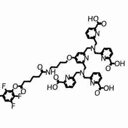 O=C(CCCCC(=O)Oc1c(F)c(F)cc(F)c1F)NCCCCOc1cc(CN(Cc2cccc(C(=O)O)n2)Cc2cccc(C(=O)O)n2)nc(CN(Cc2cccc(C(=O)O)n2)Cc2cccc(C(=O)O)n2)c1